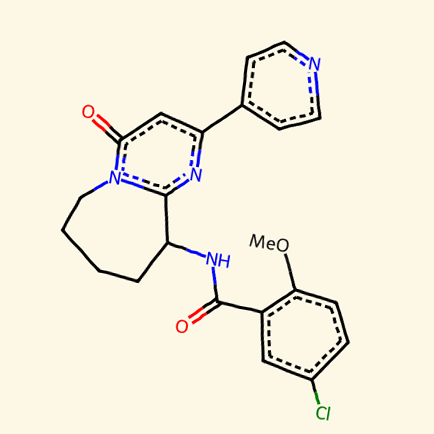 COc1ccc(Cl)cc1C(=O)NC1CCCCn2c1nc(-c1ccncc1)cc2=O